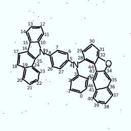 c1ccc(N(c2ccc(-n3c4ccccc4c4ccc5ccccc5c43)cc2)c2cccc3oc4cc5ccccc5cc4c23)cc1